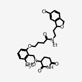 CCN(CCC1OCc2ccc(Cl)cc21)C(=O)CCCOc1cccc(C=O)c1CN(C)C1CCC(=O)NC1=O